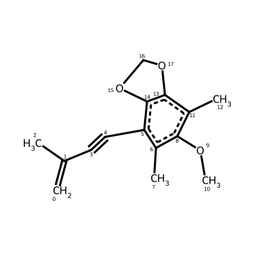 C=C(C)C#Cc1c(C)c(OC)c(C)c2c1OCO2